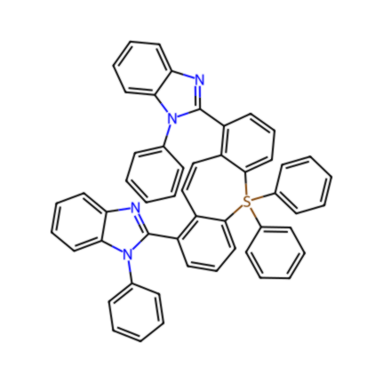 C1=Cc2c(-c3nc4ccccc4n3-c3ccccc3)cccc2S(c2ccccc2)(c2ccccc2)c2cccc(-c3nc4ccccc4n3-c3ccccc3)c21